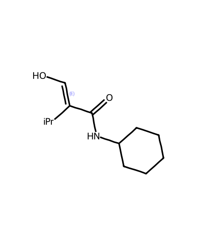 CC(C)/C(=C\O)C(=O)NC1CCCCC1